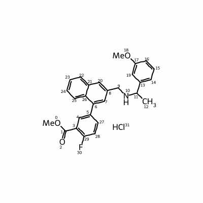 COC(=O)c1cc(-c2cc(CNC(C)c3cccc(OC)c3)cc3ccccc23)ccc1F.Cl